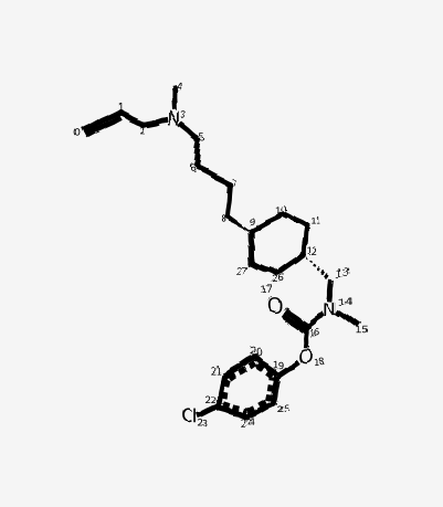 C=CCN(C)CCCC[C@H]1CC[C@H](CN(C)C(=O)Oc2ccc(Cl)cc2)CC1